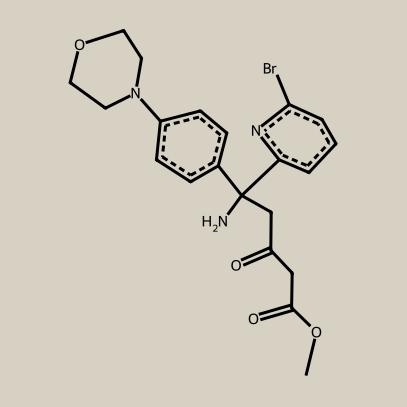 COC(=O)CC(=O)CC(N)(c1ccc(N2CCOCC2)cc1)c1cccc(Br)n1